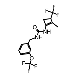 CC1=C(NC(=O)NCc2cccc(OC(F)(F)F)c2)CC1C(F)(F)F